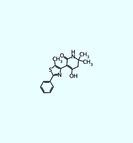 Cc1sc(-c2ccccc2)nc1C1=C(O)CC(C)(C)NC1=O